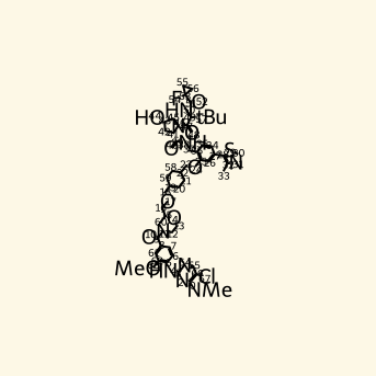 CNc1nc(Nc2ccc(C(=O)N3CCOC(COCC4CCC(COc5cc(-c6scnc6C)ccc5CNC(=O)[C@@H]5C[C@@H](O)CN5C(=O)C(NC(=O)C5(F)CC5)C(C)(C)C)CC4)C3)cc2OC)ncc1Cl